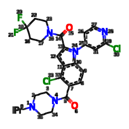 CC(C)N1CCN(C(=O)c2ccc3c(cc(C(=O)N4CCC(F)(F)CC4)n3-c3ccnc(Cl)c3)c2Cl)CC1